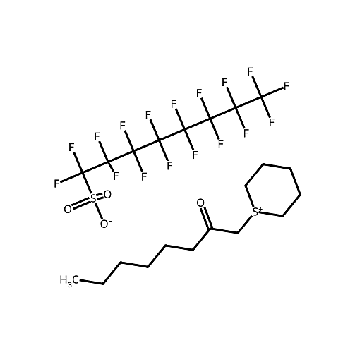 CCCCCCC(=O)C[S+]1CCCCC1.O=S(=O)([O-])C(F)(F)C(F)(F)C(F)(F)C(F)(F)C(F)(F)C(F)(F)C(F)(F)C(F)(F)F